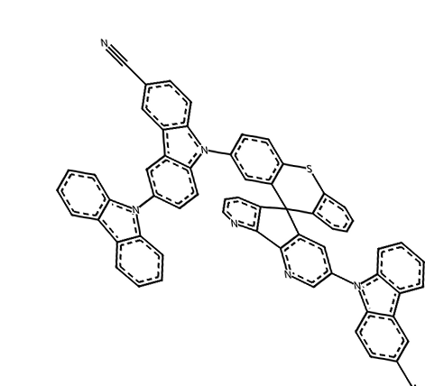 N#Cc1ccc2c(c1)c1ccccc1n2-c1cnc2c(c1)C1(c3ccccc3Sc3ccc(-n4c5ccc(C#N)cc5c5cc(-n6c7ccccc7c7ccccc76)ccc54)cc31)c1cccnc1-2